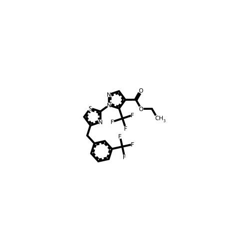 CCOC(=O)c1cnn(-c2nc(Cc3cccc(C(F)(F)F)c3)cs2)c1C(F)(F)F